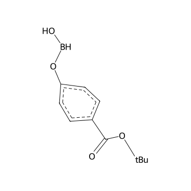 CC(C)(C)OC(=O)c1ccc(OBO)cc1